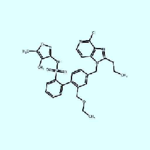 CCCc1nc2c(Cl)nccc2n1Cc1ccc(-c2ccccc2S(=O)(=O)Nc2noc(C)c2C)c(COCC)c1